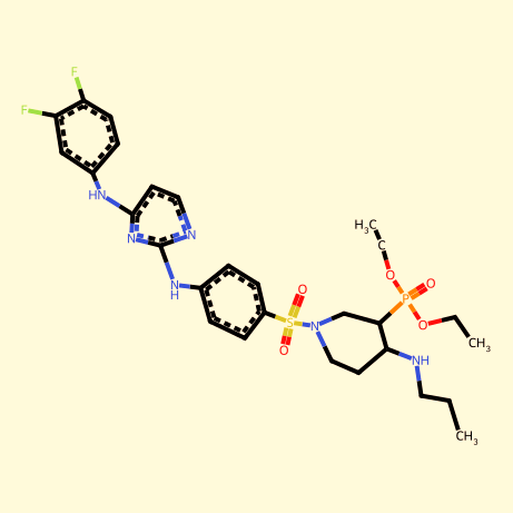 CCCNC1CCN(S(=O)(=O)c2ccc(Nc3nccc(Nc4ccc(F)c(F)c4)n3)cc2)CC1P(=O)(OCC)OCC